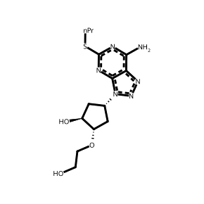 CCCSc1nc(N)c2nnn([C@@H]3C[C@H](OCCO)[C@@H](O)C3)c2n1